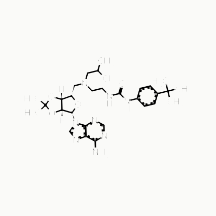 CC(C)CN(CCNC(=O)Nc1ccc(C(C)(C)C)cc1)C[C@H]1O[C@@H](n2cnc3c(N)ncnc32)[C@@H]2OC(C)(C)O[C@@H]21